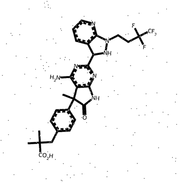 CC(C)(Cc1ccc(C2(C)C(=O)Nc3nc(C4NN(CCC(F)(F)C(F)(F)F)c5ncccc54)nc(N)c32)cc1)C(=O)O